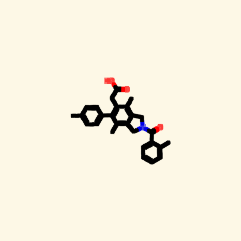 Cc1ccc(-c2c(C)c3c(c(C)c2CC(=O)O)CN(C(=O)c2ccccc2C)C3)cc1